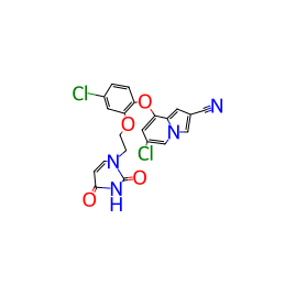 N#Cc1cc2c(Oc3ccc(Cl)cc3OCCn3ccc(=O)[nH]c3=O)cc(Cl)cn2c1